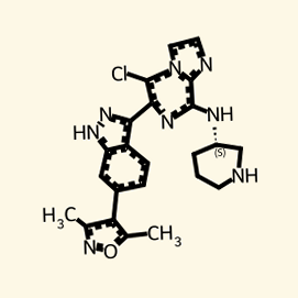 Cc1noc(C)c1-c1ccc2c(-c3nc(N[C@H]4CCCNC4)c4nccn4c3Cl)n[nH]c2c1